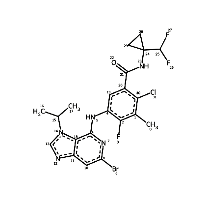 Cc1c(F)c(Nc2nc(Br)cc3ncn(C(C)C)c23)cc(C(=O)NC2(C(F)F)CC2)c1Cl